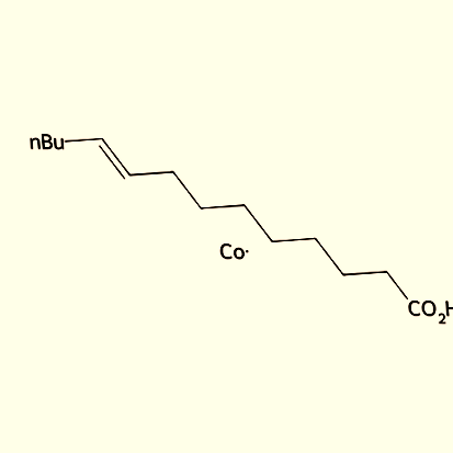 CCCCC=CCCCCCCCC(=O)O.[Co]